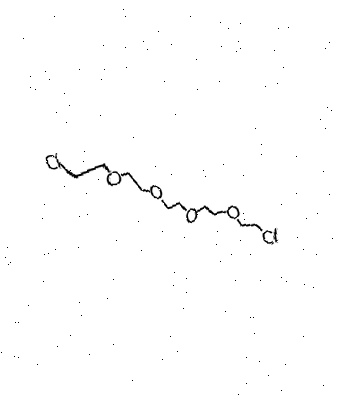 ClCCOCCOCCOCCOCCCl